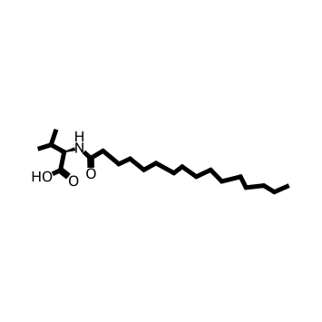 CCCCCCCCCCCCCCCC(=O)N[C@@H](C(=O)O)C(C)C